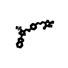 Cc1oc(-c2cc3ccccc3s2)nc1COc1ccc(CCCC2OC(=O)NC2=O)cc1